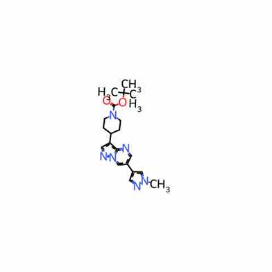 Cn1cc(-c2cnc3c(C4CCN(C(=O)OC(C)(C)C)CC4)cnn3c2)cn1